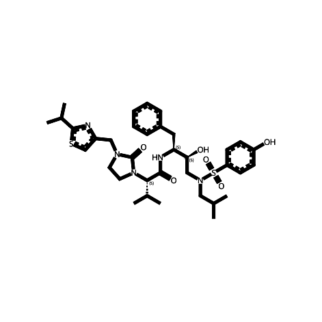 CC(C)CN(C[C@H](O)[C@H](Cc1ccccc1)NC(=O)[C@H](C(C)C)N1CCN(Cc2csc(C(C)C)n2)C1=O)S(=O)(=O)c1ccc(O)cc1